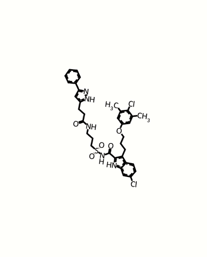 Cc1cc(OCCCc2c(C(=O)NS(=O)(=O)CCCNC(=O)CCc3cc(-c4ccccc4)n[nH]3)[nH]c3cc(Cl)ccc23)cc(C)c1Cl